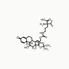 CC1(C)OC2CC3C4CCC5=CC(=O)C=CC5(C)C4(F)C(O)CC3(C)C2(C(=O)COC(=O)NCCCC(N)(C(=O)O)C(F)F)O1